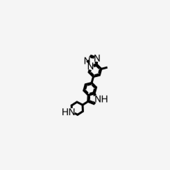 Cc1cc(-c2ccc3c(C4CCNCC4)c[nH]c3c2)cn2ncnc12